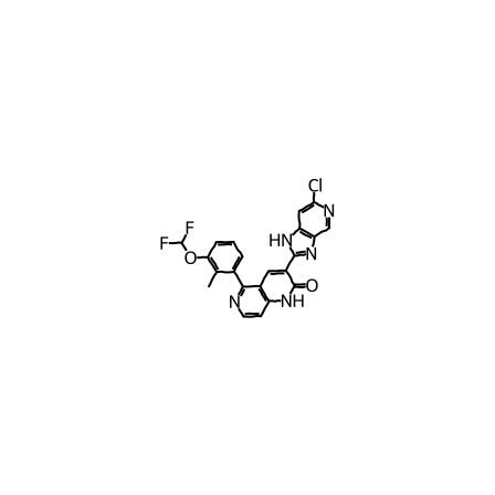 Cc1c(OC(F)F)cccc1-c1nccc2[nH]c(=O)c(-c3nc4cnc(Cl)cc4[nH]3)cc12